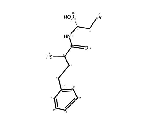 CC(C)C[C@H](NC(=O)C(S)CCc1ccccc1)C(=O)O